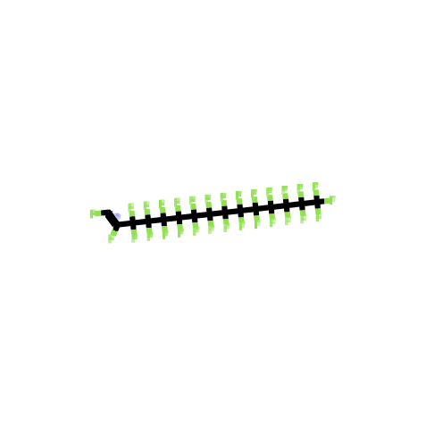 F/[C]=C(\F)C(F)(F)C(F)(F)C(F)(F)C(F)(F)C(F)(F)C(F)(F)C(F)(F)C(F)(F)C(F)(F)C(F)(F)C(F)(F)C(F)(F)C(F)(F)F